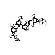 Cc1cc(C#N)nc(-c2ccnc3cc(CN4C(=O)C5C(C4=O)C5(C)C)sc23)c1OC1CCCN(C(=O)OC(C)(C)C)C1